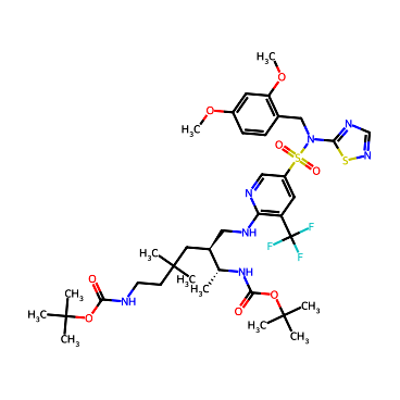 COc1ccc(CN(c2ncns2)S(=O)(=O)c2cnc(NC[C@H](CC(C)(C)CCNC(=O)OC(C)(C)C)[C@@H](C)NC(=O)OC(C)(C)C)c(C(F)(F)F)c2)c(OC)c1